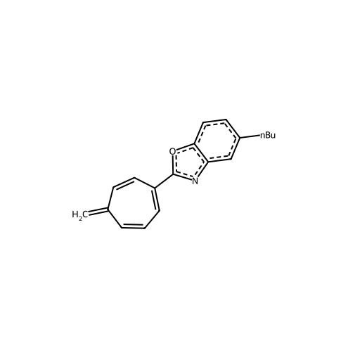 C=C1C=CC=C(c2nc3cc(CCCC)ccc3o2)C=C1